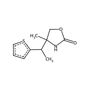 CC(c1cccs1)C1(C)COC(=O)N1